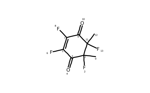 CC1(F)C(=O)C(F)=C(F)C(=O)C1(C)F